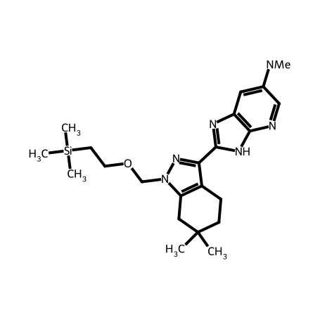 CNc1cnc2[nH]c(-c3nn(COCC[Si](C)(C)C)c4c3CCC(C)(C)C4)nc2c1